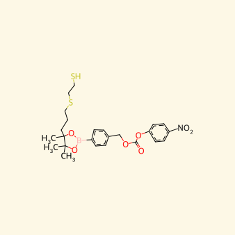 CC1(C)OB(c2ccc(COC(=O)Oc3ccc([N+](=O)[O-])cc3)cc2)OC1(C)CCCSCCS